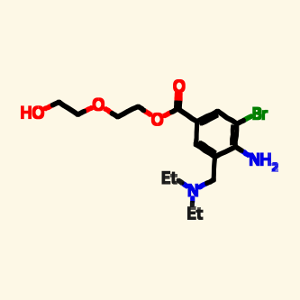 CCN(CC)Cc1cc(C(=O)OCCOCCO)cc(Br)c1N